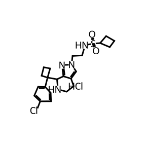 Cl.O=S(=O)(NCCn1cc2c(n1)C(C1(c3ccc(Cl)cc3)CCC1)NCC2)C1CCC1